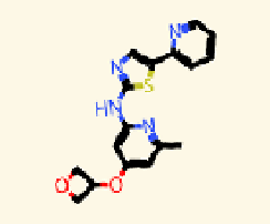 Cc1cc(OC2COC2)cc(Nc2ncc(-c3ccccn3)s2)n1